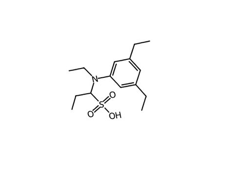 CCc1cc(CC)cc(N(CC)C(CC)S(=O)(=O)O)c1